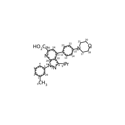 Cc1cccc(-n2nc(C(C)C)c3c(-c4ccc(N5CCOCC5)cc4)cc(C(=O)O)nc32)c1